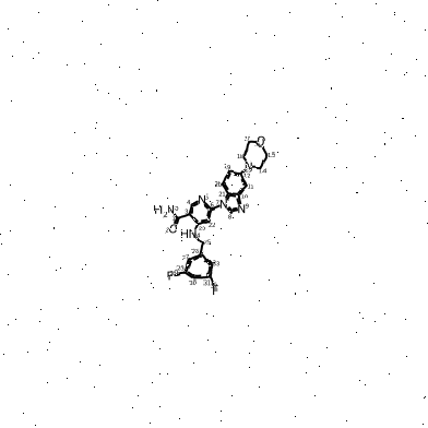 NC(=O)c1cnc(-n2cnc3cc(N4CCOCC4)ccc32)cc1NCc1cc(F)cc(F)c1